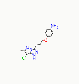 Cc1nn2c(CCCOc3ccc(N)cc3)n[nH]c2c1Cl